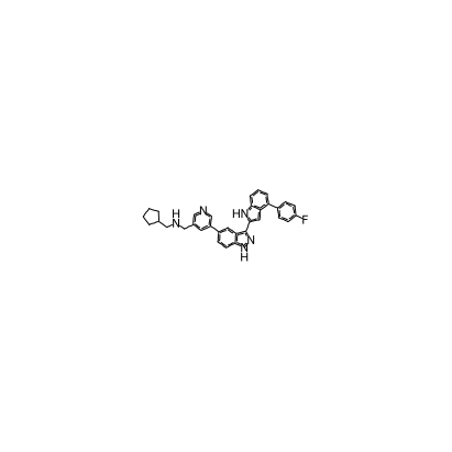 Fc1ccc(-c2cccc3[nH]c(-c4n[nH]c5ccc(-c6cncc(CNCC7CCCC7)c6)cc45)cc23)cc1